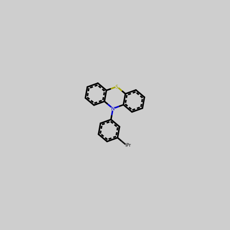 CC(C)c1cccc(N2c3ccccc3Sc3ccccc32)c1